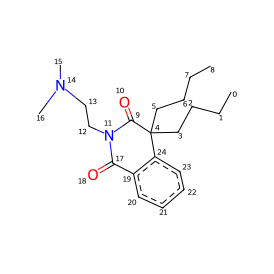 CCCCC1(CCCC)C(=O)N(CCN(C)C)C(=O)c2ccccc21